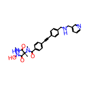 CNC(=O)[C@@](C)(C(=O)NO)N(C)C(=O)c1ccc(C#Cc2ccc(CNCc3cccnc3)cc2)cc1